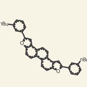 CCCCc1cccc(-c2cc3c(ccc4c3ccc3c5cc(-c6cccc(CCCC)c6)oc5ccc34)o2)c1